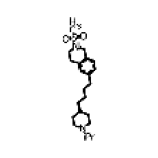 CC(C)N1CCC(CCCCc2ccc3c(c2)CCN(S(C)(=O)=O)C3)CC1